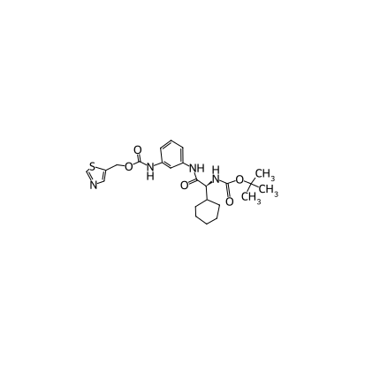 CC(C)(C)OC(=O)N[C@H](C(=O)Nc1cccc(NC(=O)OCc2cncs2)c1)C1CCCCC1